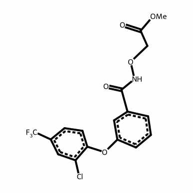 COC(=O)CONC(=O)c1cccc(Oc2ccc(C(F)(F)F)cc2Cl)c1